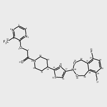 O=C(COc1nccnc1C(F)(F)F)N1CCC(c2nc(N3OCc4c(F)ccc(F)c4CO3)cs2)CC1